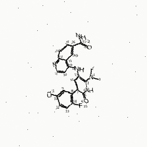 CN(C)c1[nH]c(=O)c(-c2cc(Cl)ccc2F)cc1Nc1ccnc2ccc(C(N)=O)cc12